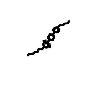 CCCCCCCc1cnc(-c2ccc(-c3ccc(CCCCC)cc3)cc2)nc1